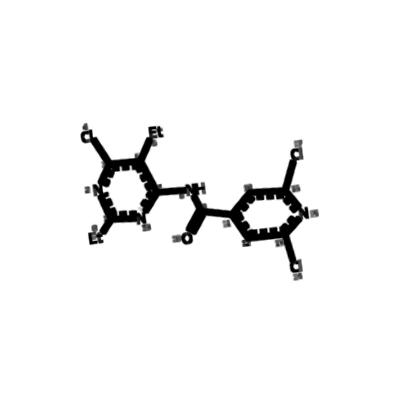 CCc1nc(Cl)c(CC)c(NC(=O)c2cc(Cl)nc(Cl)c2)n1